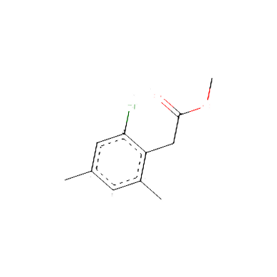 COC(=O)Cc1c(C)cc(C)cc1Br